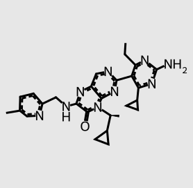 CCc1nc(N)nc(C2CC2)c1-c1ncc2nc(NCc3ccc(C)cn3)c(=O)n([C@@H](C)C3CC3)c2n1